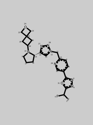 FC(F)c1nnc(-c2ccc(Cn3cc([C@@H]4CCCN4C4CC5(COC5)C4)nn3)nc2)o1